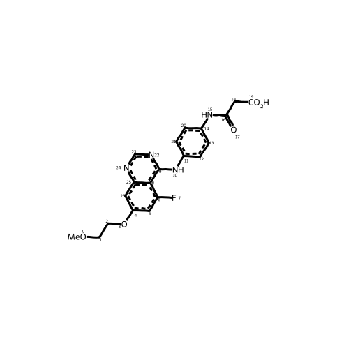 COCCOc1cc(F)c2c(Nc3ccc(NC(=O)CC(=O)O)cc3)ncnc2c1